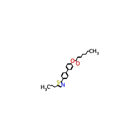 CCCC/C=C/C(=O)Oc1ccc(-c2ccc(-c3ncc(CCC)s3)cc2)cc1